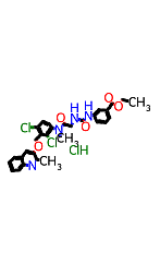 CCOC(=O)c1cccc(NC(=O)NCC(=O)N(C)c2ccc(Cl)c(COc3cc4ccccc4nc3C)c2Cl)c1.Cl